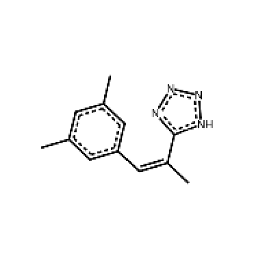 C/C(=C/c1cc(C)cc(C)c1)c1nnn[nH]1